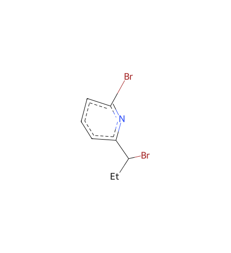 CCC(Br)c1cccc(Br)n1